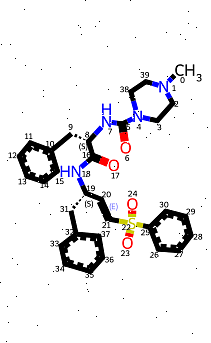 CN1CCN(C(=O)N[C@@H](Cc2ccccc2)C(=O)N[C@H](/C=C/S(=O)(=O)c2ccccc2)Cc2ccccc2)CC1